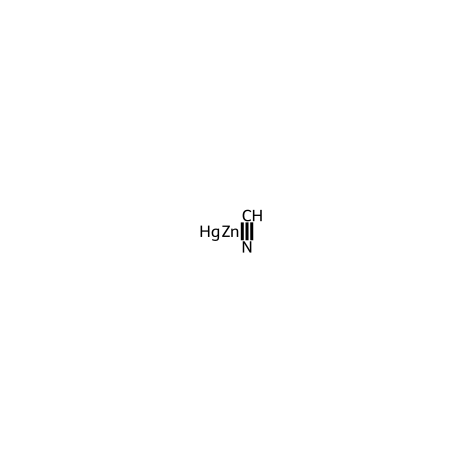 C#N.[Hg].[Zn]